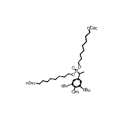 CCCCCCCCCCCCCCCCCCOP(=O)(OCCCCCCCCCCCCCCCCCC)C(C)c1cc(C(C)(C)C)c(O)c(C(C)(C)C)c1